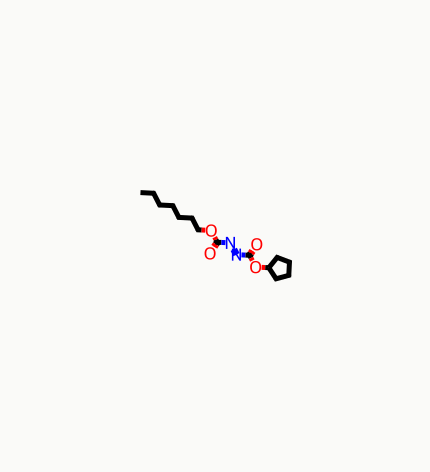 CCCCCCCOC(=O)N=NC(=O)OC1CCCC1